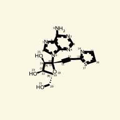 Nc1ncnc2c1ncn2[C@]1(C#Cc2nccs2)O[C@H](CO)[C@@H](O)[C@H]1O